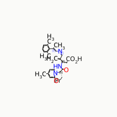 C=C(/C=N\C=C(/C)c1c(C)cccc1C)[C@@H](CC(=O)O)NC(=O)[C@H](CC(C)C)n1ccc(C)cc1=O